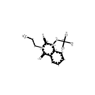 CCCn1c(=O)c2ccccc2n(SC(Cl)(Cl)Cl)c1=S